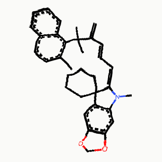 C=C(/C=C/C=C1/N(C)c2cc3c(cc2C12CCCCC2)OCO3)C(C)(C)c1c(C)ccc2ccccc12